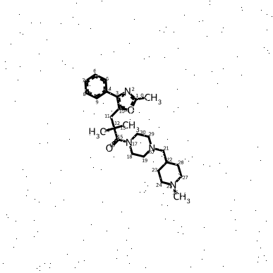 Cc1nc(-c2ccccc2)c(CC(C)(C)C(=O)N2CCN(CC3CCN(C)CC3)CC2)o1